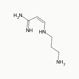 N=C(N)/C=C\NCCCN